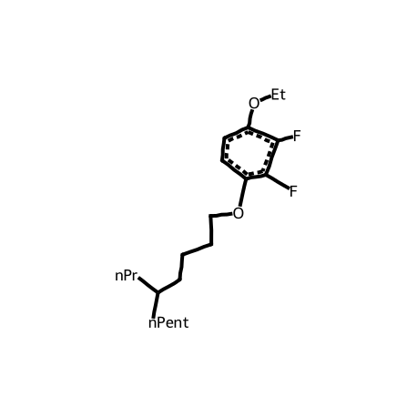 CCCCCC(CCC)CCCCOc1ccc(OCC)c(F)c1F